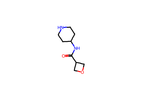 O=C(NC1CCNCC1)C1COC1